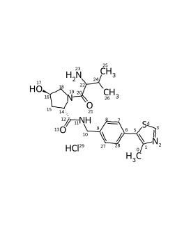 Cc1ncsc1-c1ccc(CNC(=O)[C@@H]2C[C@@H](O)CN2C(=O)C(N)C(C)C)cc1.Cl